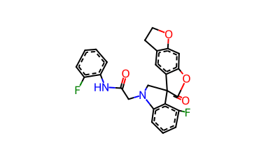 O=C(CN1CC2(C(=O)Oc3cc4c(cc32)CCO4)c2c(F)cccc21)Nc1ccccc1F